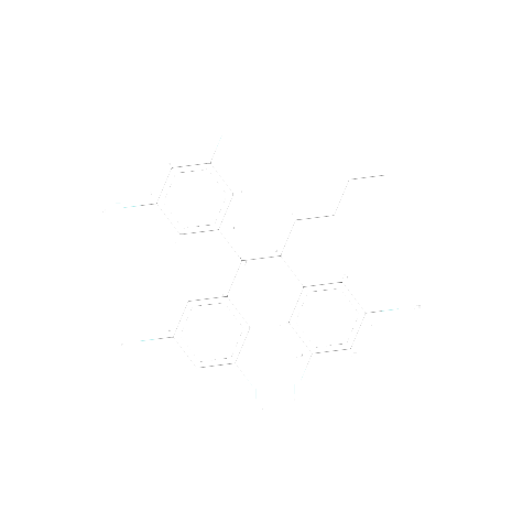 CCCCC([C](c1cc(F)cc(F)c1)c1cc(F)cc(F)c1)c1cc(F)cc(F)c1